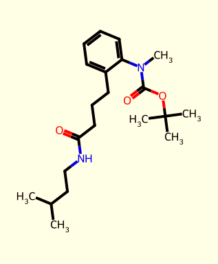 CC(C)CCNC(=O)CCCc1ccccc1N(C)C(=O)OC(C)(C)C